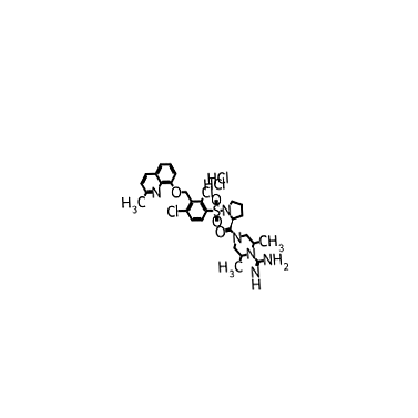 Cc1ccc2cccc(OCc3c(Cl)ccc(S(=O)(=O)N4CCC[C@H]4C(=O)N4CC(C)N(C(=N)N)C(C)C4)c3Cl)c2n1.Cl.Cl